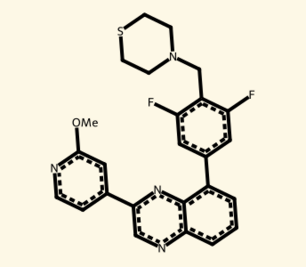 COc1cc(-c2cnc3cccc(-c4cc(F)c(CN5CCSCC5)c(F)c4)c3n2)ccn1